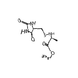 CC(C)OC(=O)[C@H](C)NSCC1NC(=O)NC1=O